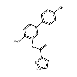 CSc1ccc(-c2ccc(C#N)cc2)cc1OC(=O)c1cc[nH]n1